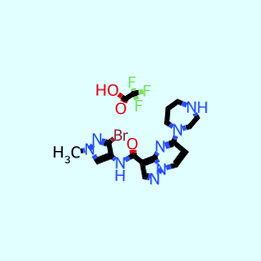 Cn1cc(NC(=O)c2cnn3ccc(N4CCCNCC4)nc23)c(Br)n1.O=C(O)C(F)(F)F